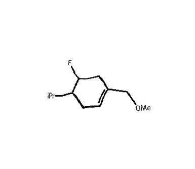 COCC1=CCC(C(C)C)C(F)C1